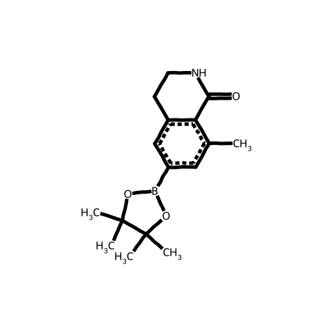 Cc1cc(B2OC(C)(C)C(C)(C)O2)cc2c1C(=O)NCC2